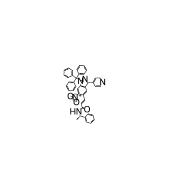 C[C@@H](NC(=O)/C=C/c1cc2c(-c3ccncc3)nn(C(c3ccccc3)(c3ccccc3)c3ccccc3)c2cc1[N+](=O)[O-])c1ccccc1